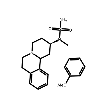 CN([C@@H]1CCN2CCc3ccccc3C2C1)S(N)(=O)=O.COc1ccccc1